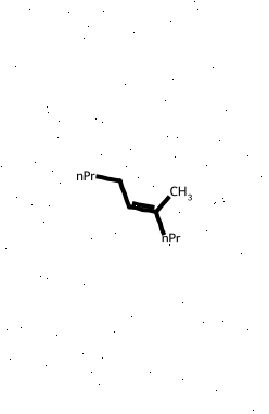 CCCCC=C(C)CCC